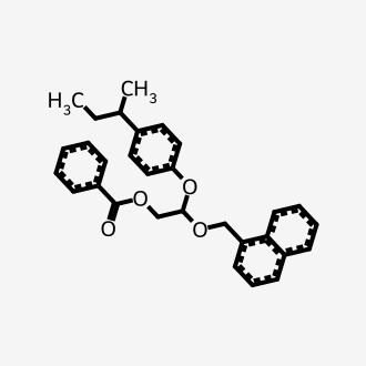 CCC(C)c1ccc(OC(COC(=O)c2ccccc2)OCc2cccc3ccccc23)cc1